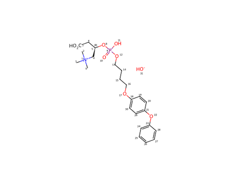 C[N+](C)(C)C[C@@H](CC(=O)O)OP(=O)(O)OCCCCOc1ccc(Oc2ccccc2)cc1.[OH-]